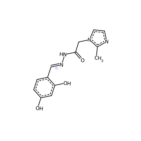 Cc1nccn1CC(=O)N/N=C/c1ccc(O)cc1O